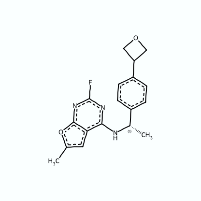 Cc1cc2c(N[C@@H](C)c3ccc(C4COC4)cc3)nc(F)nc2o1